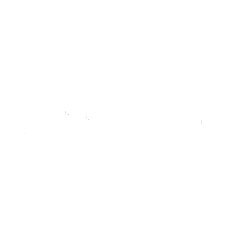 CCCCCCCc1ccn(OCC)n1